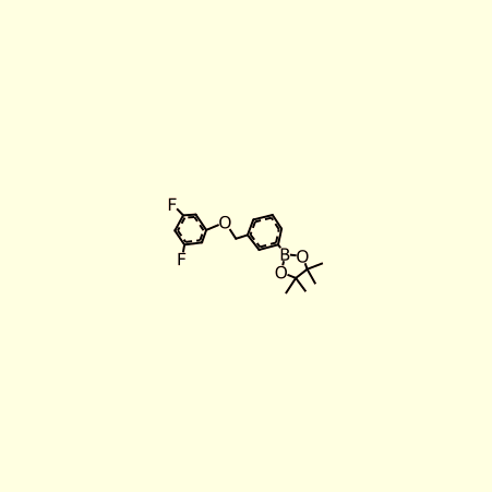 CC1(C)OB(c2cccc(COc3cc(F)cc(F)c3)c2)OC1(C)C